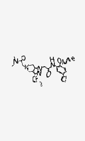 COc1ccc(Cl)cc1NC(=O)Cn1nc(C(F)(F)F)c2c1CCN(CC(=O)N(C)C)C2